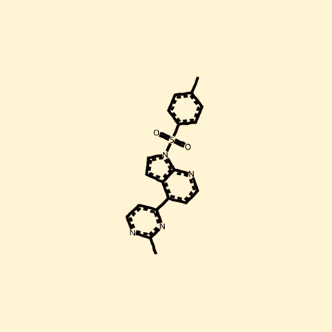 Cc1ccc(S(=O)(=O)n2ccc3c(-c4ccnc(C)n4)ccnc32)cc1